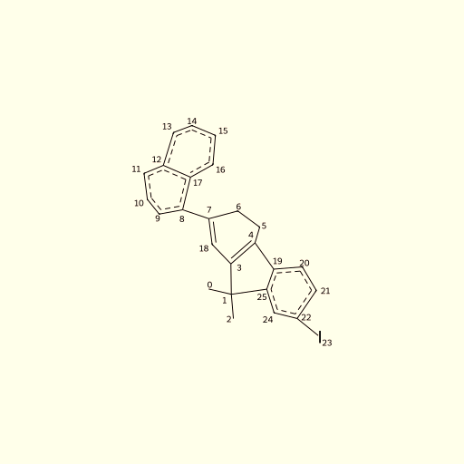 CC1(C)C2=C(CCC(c3cccc4ccccc34)=C2)c2ccc(I)cc21